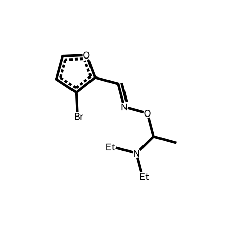 CCN(CC)C(C)ON=Cc1occc1Br